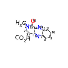 Cn1cc(C(=O)O)c2nc3ccccc3nc2c1=O